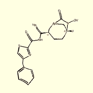 N=C(NC(=O)c1nc(-c2ccccc2)cs1)[C@@H]1CC[C@@H]2CN1C(=O)N2O